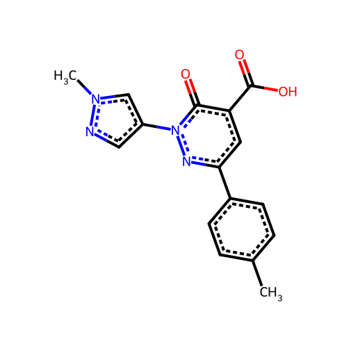 Cc1ccc(-c2cc(C(=O)O)c(=O)n(-c3cnn(C)c3)n2)cc1